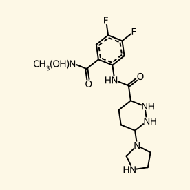 CN(O)C(=O)c1cc(F)c(F)cc1NC(=O)C1CCC(N2CCNC2)NN1